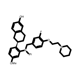 COc1ccc([C@@H]2CCc3cc(O)ccc3C2)c(N(Cc2ccc(OCCN3CCCCC3)c(F)c2)C(C)C)c1